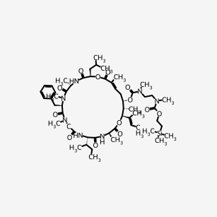 C/C=C(\C)[C@H]1OC(=O)[C@@H](C)NC(=O)[C@H](C(C)CC)NC(=O)CN(C)C(=O)[C@@H](Cc2ccccc2)N(C)C(=O)[C@H](C)NC(=O)[C@@H](CC(C)C)OC(=O)/C(C)=C/C[C@H](OC(=O)N(C)CCN(C)C(=O)OCC[Si](C)(C)C)[C@@H]1C